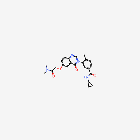 Cc1ccc(C(=O)NC2CC2)cc1-n1cnc2ccc(OCC(=O)N(C)C)cc2c1=O